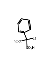 CCCCCCCCC(CC)(c1ccccc1)S(=O)(=O)O